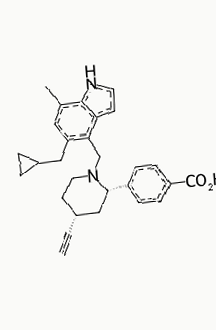 C#C[C@@H]1CCN(Cc2c(CC3CC3)cc(C)c3[nH]ccc23)[C@H](c2ccc(C(=O)O)cc2)C1